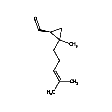 CC(C)=CCCC1(C)C[C@@H]1C=O